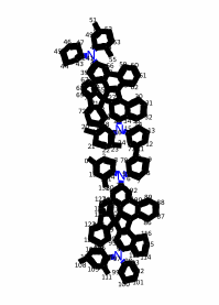 Cc1ccc(N(c2cccc(-c3cccc(N(c4cc(C)ccc4C)c4cc5c(c6ccccc46)-c4c(c6ccc(N(c7ccccc7)c7cc(C)ccc7C)cc6c6ccccc46)C54c5ccccc5-c5ccccc54)c3)c2)c2ccc3c4c(c5ccccc5c3c2)-c2c(cc(N(c3ccccc3)c3ccc(C)cc3C)c3ccccc23)C42c3ccccc3-c3ccccc32)c(C)c1